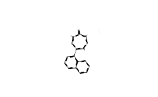 Cc1cc(O)c(=O)c(O)cc1-c1cccc2ccccc12